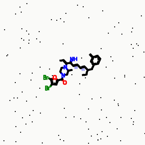 CC=C(C(=N)/C=C/C=C/C(CC)Cc1cccc(C)c1)N1CCN(C(=O)c2cc(Br)c(Br)o2)CC1C